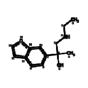 CCNCC(C)(O)c1ccc2ccoc2c1